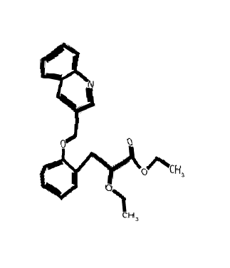 CCOC(=O)C(Cc1ccccc1OCc1cnc2ccccc2c1)OCC